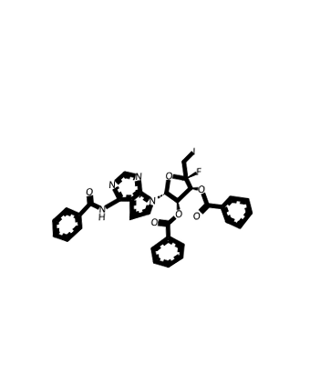 O=C(Nc1ncnc2c1ccn2[C@@H]1O[C@](F)(CI)[C@@H](OC(=O)c2ccccc2)[C@H]1OC(=O)c1ccccc1)c1ccccc1